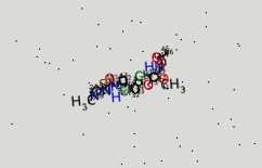 COc1cc(OC2CCc3c(-c4cccc(NC(=O)c5nc6c(s5)CCN(C)C6)c4Cl)cccc32)c(Cl)cc1CNOC(=O)C1CC1